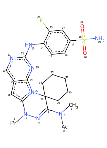 CC(=O)N(C)C1=NN(C(C)C)c2cc3cnc(Nc4ccc(S(N)(=O)=O)cc4F)nc3n2C12CCCCC2